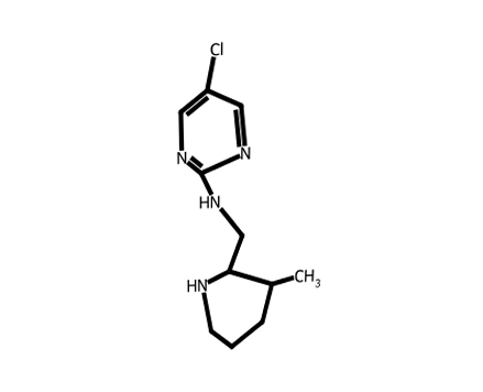 CC1CCCNC1CNc1ncc(Cl)cn1